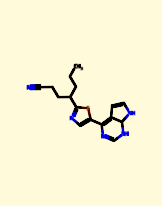 CCCC(CCC#N)c1ncc(C2=C3C=CNC3NC=N2)s1